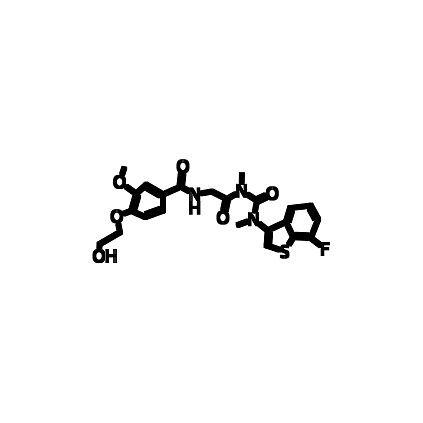 COc1cc(C(=O)NCC(=O)N(C)C(=O)N(C)c2csc3c(F)cccc23)ccc1OCCO